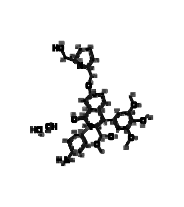 COC(=O)c1c(-c2cc(OC)c(OC)c(OC)c2)c2ccc(OCc3cccc(CO)n3)cc2c(=O)n1-c1ccc(N)cc1.Cl.Cl